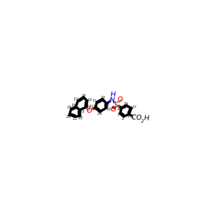 O=C(O)c1ccc(S(=O)(=O)Nc2ccc(Oc3cccc4ccccc34)cc2)cc1